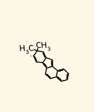 CC1(C)[C]=CC2=c3ccc4ccccc4c3=CC2=C1